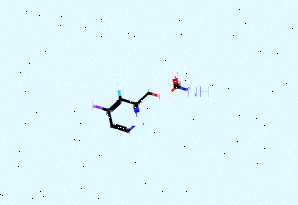 NC(=O)OCc1nccc(I)c1F